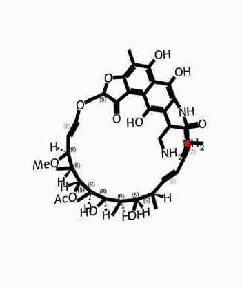 CO[C@H]1/C=C/O[C@@]2(C)Oc3c(C)c(O)c4c(O)c(c(C(CN)CN)c(O)c4c3C2=O)NC(=O)/C(C)=C\C=C\[C@H](C)[C@H](O)[C@@H](C)[C@@H](O)[C@@H](C)[C@H](OC(C)=O)[C@@H]1C